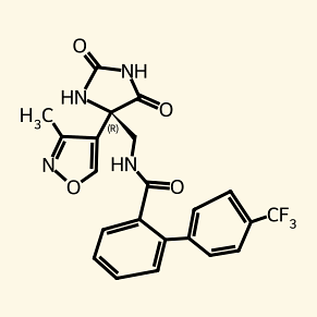 Cc1nocc1[C@]1(CNC(=O)c2ccccc2-c2ccc(C(F)(F)F)cc2)NC(=O)NC1=O